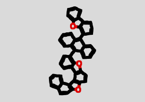 c1ccc2c(c1)ccc1oc3ccc4oc5c(-c6c7ccccc7c(-c7cccc8c7oc7ccccc78)c7ccccc67)cccc5c4c3c12